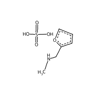 CNCc1ccco1.O=S(=O)(O)O